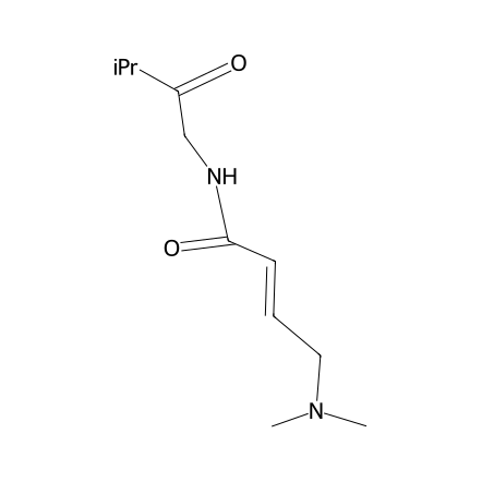 CC(C)C(=O)CNC(=O)/C=C/CN(C)C